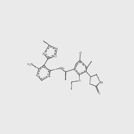 CCOc1c(C(C)Nc2ncnc(N)c2-c2nc(C)no2)cc(Cl)c(C)c1C1CNC(=O)C1